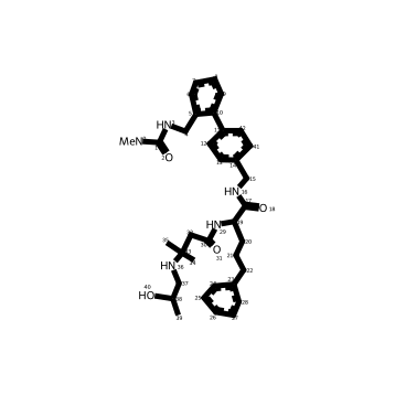 CNC(=O)NCc1ccccc1-c1ccc(CNC(=O)C(CCCc2ccccc2)NC(=O)CC(C)(C)NCC(C)O)cc1